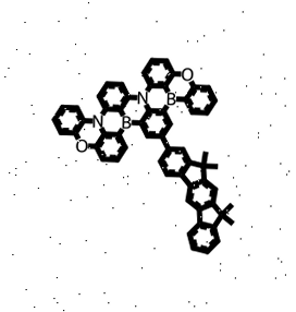 CC1(C)c2ccccc2-c2cc3c(cc21)C(C)(C)c1cc(-c2cc4c5c(c2)B2c6cccc7c6N(c6ccccc6O7)c6cccc(c62)N5c2cccc5c2B4c2ccccc2O5)ccc1-3